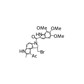 COc1cc2cc(C(=O)N3CC(CBr)c4c3ccc3[nH]c(C)c(C(C)=O)c43)[nH]c2c(OC)c1OC